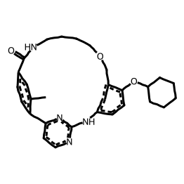 Cc1cc2ccc1-c1ccnc(n1)Nc1ccc(OC3CCCCC3)c(c1)COCCCCNC2=O